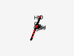 CCCCCCCCCCCCCCC(=O)O[C@H](COC(=O)CCCCCCCNC(C)=O)COP(=O)(O)O